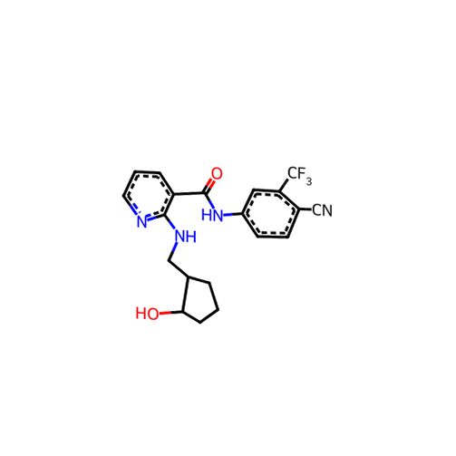 N#Cc1ccc(NC(=O)c2cccnc2NCC2CCCC2O)cc1C(F)(F)F